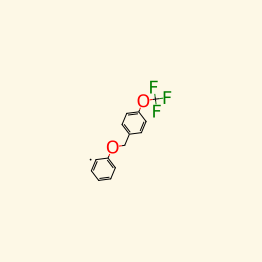 FC(F)(F)Oc1ccc(COc2[c]cccc2)cc1